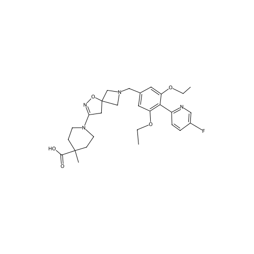 CCOc1cc(CN2CC3(CC(N4CCC(C)(C(=O)O)CC4)=NO3)C2)cc(OCC)c1-c1ccc(F)cn1